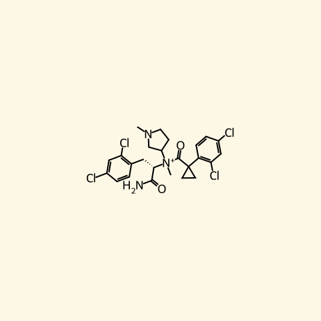 CN1CCC([N+](C)(C(=O)C2(c3ccc(Cl)cc3Cl)CC2)[C@@H](Cc2ccc(Cl)cc2Cl)C(N)=O)C1